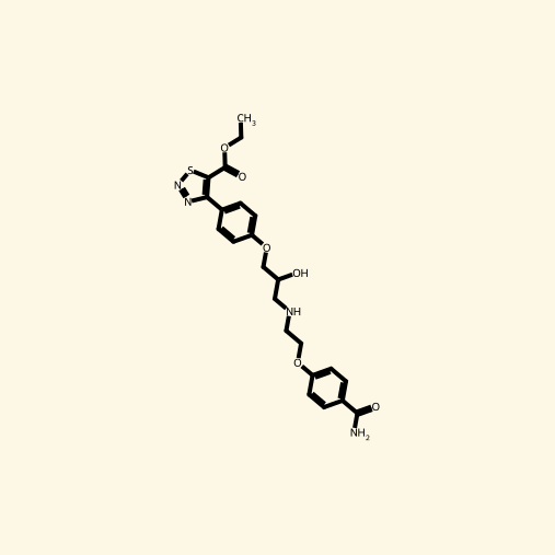 CCOC(=O)c1snnc1-c1ccc(OCC(O)CNCCOc2ccc(C(N)=O)cc2)cc1